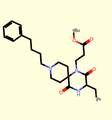 CC(C)CC1NC(=O)C2(CCN(CCCCc3ccccc3)CC2)N(CCC(=O)OC(C)(C)C)C1=O